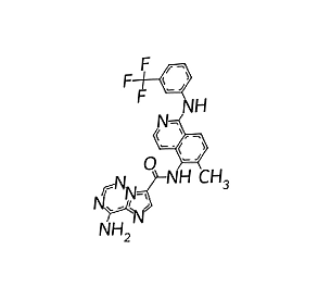 Cc1ccc2c(Nc3cccc(C(F)(F)F)c3)nccc2c1NC(=O)c1cnc2c(N)ncnn12